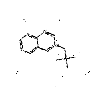 CC(C)(C)C[n+]1cnc2ccccc2c1